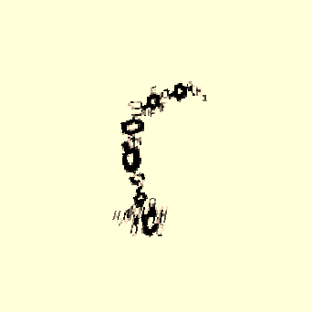 COc1ccc(COc2c(F)cc(C(=O)NC[C@H]3CC[C@H](n4cc5ccc(N6CCN(CCc7ccc8c(c7)n(C)c(=O)n8C7CCC(=O)NC7=O)CC6)cc5n4)CC3)c(F)c2F)cc1